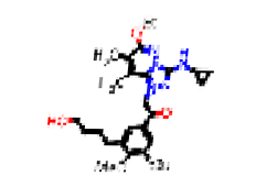 CCOc1nn2c(NC3CC3)n[n+](CC(=O)c3cc(CCCCO)c(OC)c(C(C)(C)C)c3)c2c(C)c1C